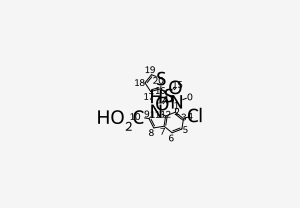 CN(c1c(Cl)ccc2cc(C(=O)O)[nH]c12)S(=O)(=O)c1cccs1